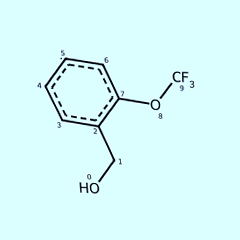 OCc1cc[c]cc1OC(F)(F)F